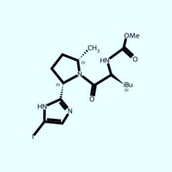 CC[C@H](C)C(NC(=O)OC)C(=O)N1[C@@H](C)CC[C@H]1c1ncc(I)[nH]1